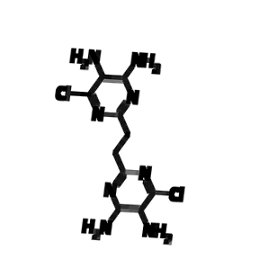 Nc1nc(CCc2nc(N)c(N)c(Cl)n2)nc(Cl)c1N